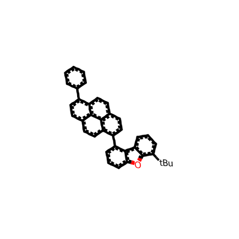 CC(C)(C)c1cccc2c1oc1cccc(-c3ccc4ccc5c(-c6ccccc6)ccc6ccc3c4c65)c12